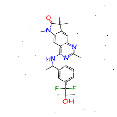 Cc1nc(NC(C)c2cccc(C(F)(F)C(C)(C)O)c2)c2cc3c(cc2n1)C(C)(C)C(=O)N3C